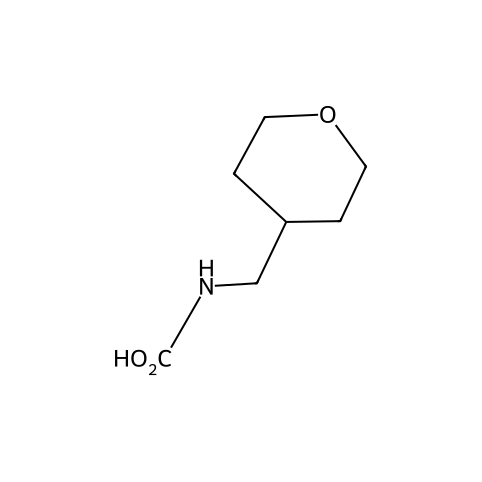 O=C(O)NCC1CCOCC1